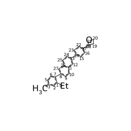 CCc1cc(C)ccc1-c1ccc2cc(-c3ccc([C@@H]4CCO4)cc3)ccc2c1